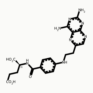 Nc1nc(N)c2nc(CCNc3ccc(C(=O)N[C@@H](CCC(=O)O)C(=O)O)cc3)cnc2n1